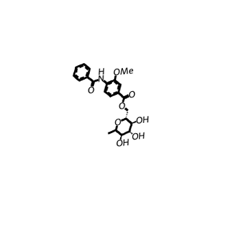 COc1cc(C(=O)OC[C@H]2OC(C)[C@H](O)[C@@H](O)[C@@H]2O)ccc1NC(=O)c1ccccc1